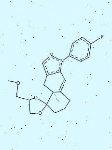 COCC1COC2(CCCC3=Cc4c(cnn4-c4ccc(F)cc4)C[C@@]32C)O1